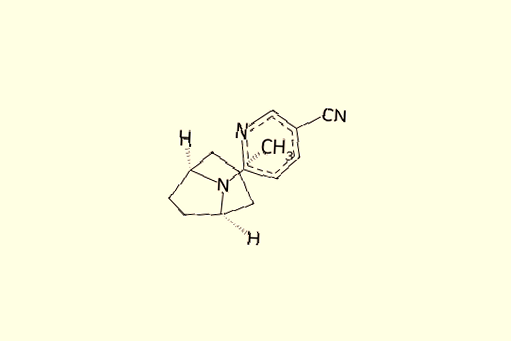 C[C@@H]1C[C@H]2CC[C@@H](C1)N2c1ccc(C#N)cn1